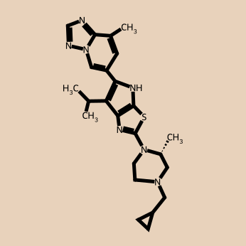 Cc1cc(-c2[nH]c3sc(N4CCN(CC5CC5)C[C@H]4C)nc3c2C(C)C)cn2ncnc12